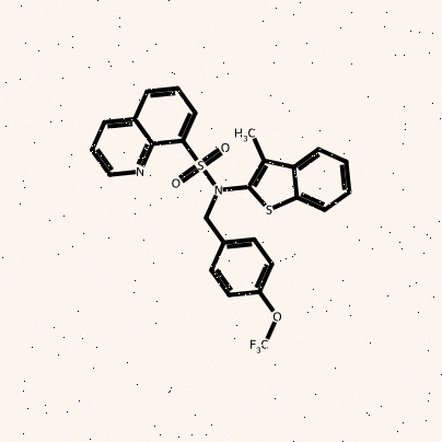 Cc1c(N(Cc2ccc(OC(F)(F)F)cc2)S(=O)(=O)c2cccc3cccnc23)sc2ccccc12